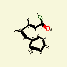 CC(=CC(=O)Cl)C(C)=Cc1ccccc1